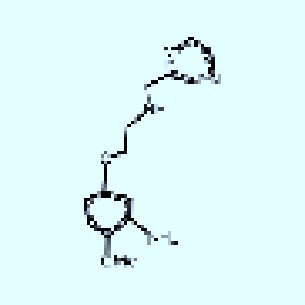 COc1ccc(OCCNCc2cnccn2)cc1N